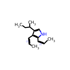 C/C=C\c1[nH]cc(C(C)CC)c1/C=C\C